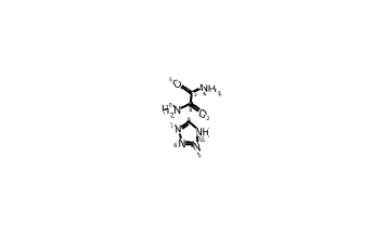 NC(=O)C(N)=O.c1nnn[nH]1